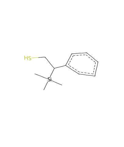 C[Si](C)(C)C(CS)c1ccccc1